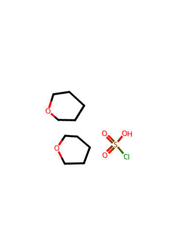 C1CCOCC1.C1CCOCC1.O=S(=O)(O)Cl